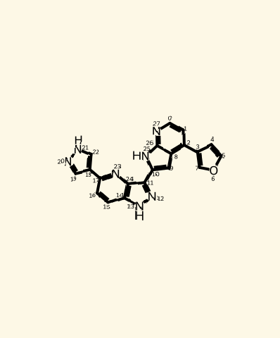 c1cc(-c2ccoc2)c2cc(-c3n[nH]c4ccc(-c5cn[nH]c5)nc34)[nH]c2n1